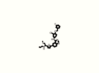 C=CCNC(CSC)c1ccc(-c2ccc3ncnc(Nc4ccc(OCc5cccc(F)c5)c(Cl)c4)c3c2)o1